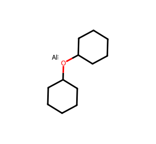 C1CCC(OC2CCCCC2)CC1.[Al]